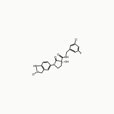 O=C(NCc1cc(F)cc(Cl)c1)[C@@]1(O)CCN(c2ccc3c(c2)C[S+]([O-])N3)C1=O